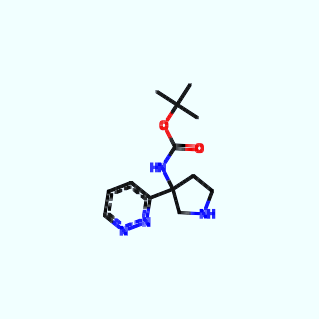 CC(C)(C)OC(=O)NC1(c2cccnn2)CCNC1